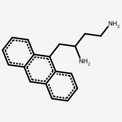 NCCC(N)Cc1c2ccccc2cc2ccccc12